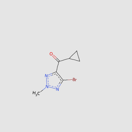 Cn1nc(Br)c(C(=O)C2CC2)n1